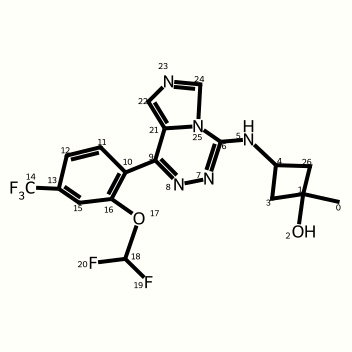 CC1(O)CC(Nc2nnc(-c3ccc(C(F)(F)F)cc3OC(F)F)c3cncn23)C1